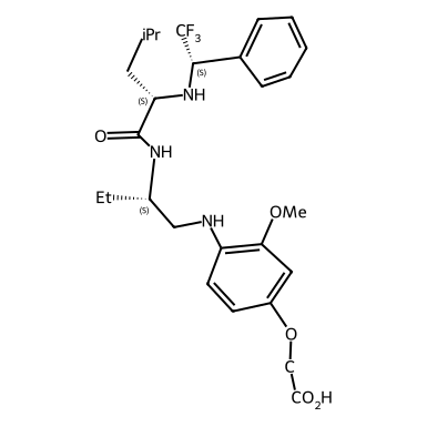 CC[C@@H](CNc1ccc(OCC(=O)O)cc1OC)NC(=O)[C@H](CC(C)C)N[C@@H](c1ccccc1)C(F)(F)F